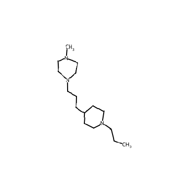 CCCN1CCC(CCCN2CCN(C)CC2)CC1